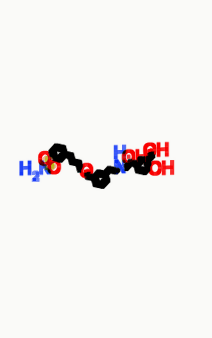 NS(=O)(=O)c1cccc(CCCCOCc2cccc(CCNC[C@H](O)c3ccc(O)c(CO)c3)c2)c1